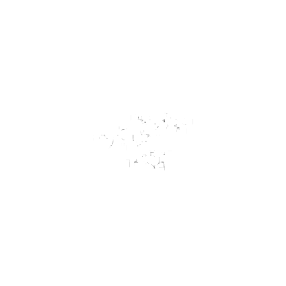 COC(=O)c1ccc([C@H]2[C@H](CO[Si](C(C)C)(C(C)C)C(C)C)CN(C(=O)OC(C)(C)C)C[C@@H]2O)cc1